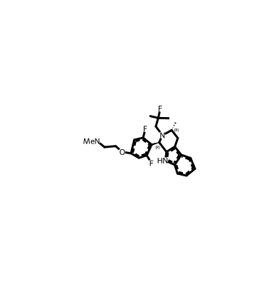 CNCCOc1cc(F)c([C@@H]2c3[nH]c4ccccc4c3C[C@@H](C)N2CC(C)(C)F)c(F)c1